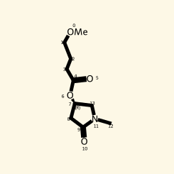 COCCCC(=O)O[C@@H]1CC(=O)N(C)C1